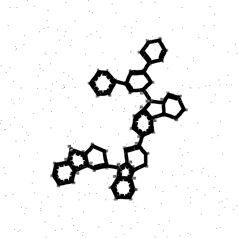 C1=CC(C2=CC(c3ccccc3)=CC(N3c4ccc(C5=Cc6c(c7ccccc7n6C6=Cc7c(oc8ccccc78)CC6)CC5)cc4C4CCC=CC43)C2)=CCC1